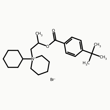 CC(C[N+]1(C2CCCCC2)CCCCC1)OC(=O)c1ccc(C(C)(C)C)cc1.[Br-]